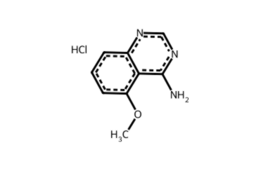 COc1cccc2ncnc(N)c12.Cl